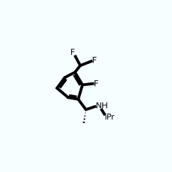 CC(C)N[C@H](C)c1cccc(C(F)F)c1F